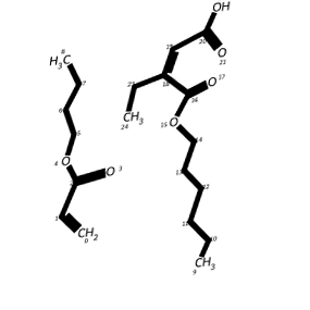 C=CC(=O)OCCCC.CCCCCCOC(=O)/C(=C\C(=O)O)CC